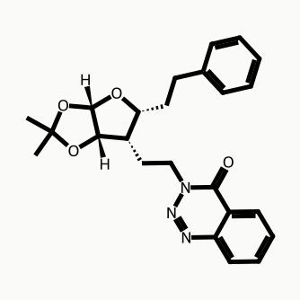 CC1(C)O[C@@H]2O[C@H](CCc3ccccc3)[C@H](CCn3nnc4ccccc4c3=O)[C@@H]2O1